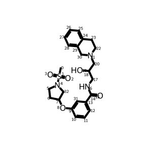 CS(=O)(=O)N1CCC(Oc2cccc(C(=O)NCC(O)CN3CCc4ccccc4C3)c2)C1